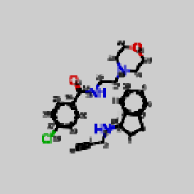 C#CCN[C@@H]1CCc2ccccc21.O=C(NCCN1CCOCC1)c1ccc(Cl)cc1